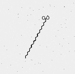 CCCCCCC=CCC=CCC=CCCCCCCCC(=O)OC